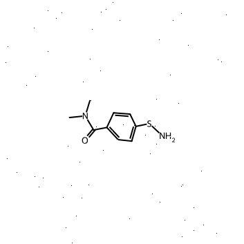 CN(C)C(=O)c1ccc(SN)cc1